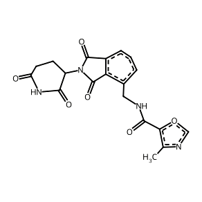 Cc1ncoc1C(=O)NCc1cccc2c1C(=O)N(C1CCC(=O)NC1=O)C2=O